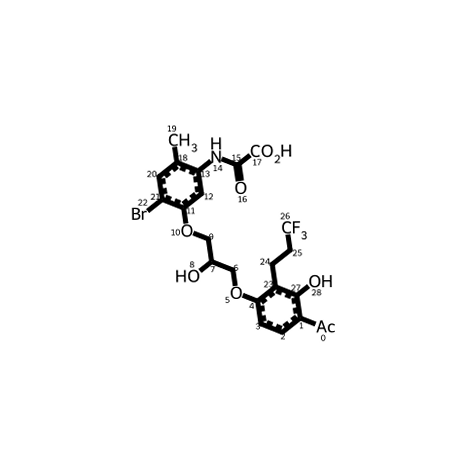 CC(=O)c1ccc(OCC(O)COc2cc(NC(=O)C(=O)O)c(C)cc2Br)c(CCC(F)(F)F)c1O